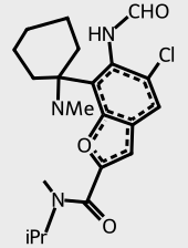 CNC1(c2c(NC=O)c(Cl)cc3cc(C(=O)N(C)C(C)C)oc23)CCCCC1